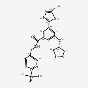 O=C(NCc1ccc(C(F)(F)F)nn1)c1cc(O[C@@H]2CCOC2)cc(-c2ncc(Cl)s2)c1